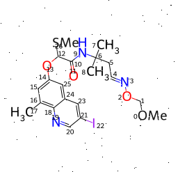 COCON=CCC(C)(C)NC(=O)C(Oc1cc(C)c2ncc(I)cc2c1)SC